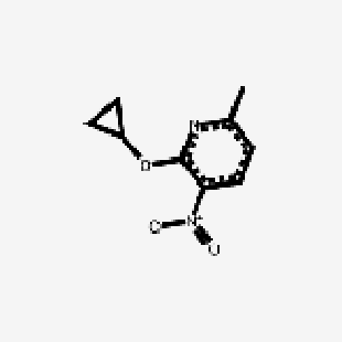 Cc1ccc([N+](=O)[O-])c(OC2CC2)n1